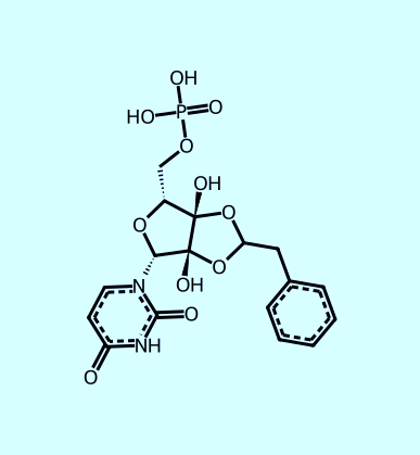 O=c1ccn([C@@H]2O[C@H](COP(=O)(O)O)[C@]3(O)OC(Cc4ccccc4)O[C@]23O)c(=O)[nH]1